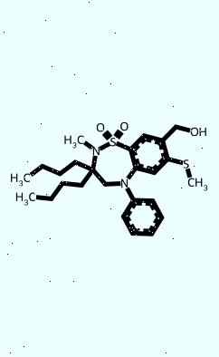 CCCCC1(CCCC)CN(c2ccccc2)c2cc(SC)c(CO)cc2S(=O)(=O)N1C